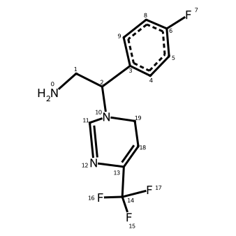 NCC(c1ccc(F)cc1)N1C=NC(C(F)(F)F)=CC1